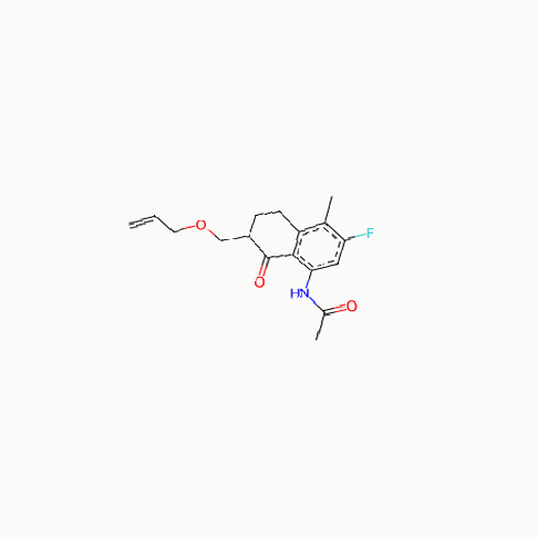 C=CCOCC1CCc2c(C)c(F)cc(NC(C)=O)c2C1=O